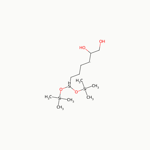 C[Si](C)(C)O[SiH](CCC[CH]C(O)CO)O[Si](C)(C)C